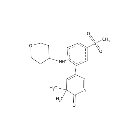 CC1(C)C=C(c2cc(S(C)(=O)=O)ccc2NC2CCOCC2)C=NC1=O